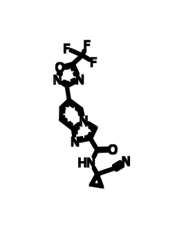 N#CC1(NC(=O)c2cn3cc(-c4noc(C(F)(F)F)n4)ccc3n2)CC1